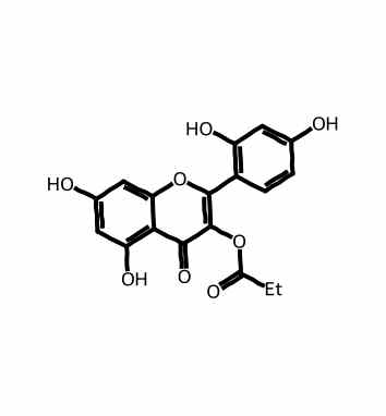 CCC(=O)Oc1c(-c2ccc(O)cc2O)oc2cc(O)cc(O)c2c1=O